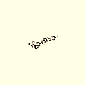 CN1CCC(OCc2ccc(CN(C)c3ccc4c(NC(=O)O)nccc4c3)cc2)CC1